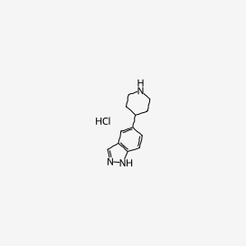 Cl.c1cc2[nH]ncc2cc1C1CCNCC1